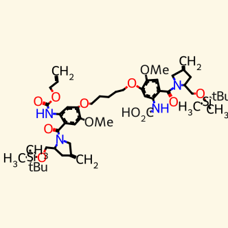 C=CCOC(=O)Nc1cc(OCCCCCOc2cc(NC(=O)O)c(C(=O)N3CC(=C)CC3CO[Si](C)(C)C(C)(C)C)cc2OC)c(OC)cc1C(=O)N1CC(=C)CC1CO[Si](C)(C)C(C)(C)C